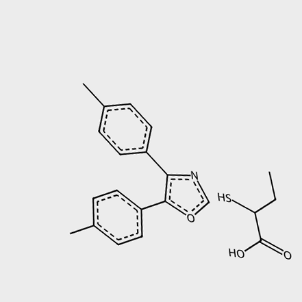 CCC(S)C(=O)O.Cc1ccc(-c2ncoc2-c2ccc(C)cc2)cc1